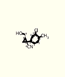 Cc1ccc([C@]2(C#N)C[C@@H]2CO)cc1Cl